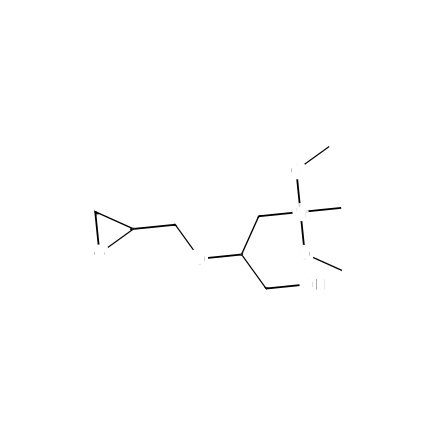 CO[Si](C)(CC(CO)OCC1CO1)OC